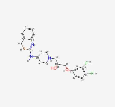 CN(C1=Nc2ccccc2CS1)C1CCN(CC(O)COc2ccc(F)c(F)c2)CC1